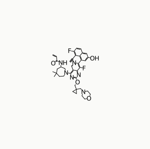 C#Cc1c(F)ccc2cc(O)cc(-c3ncc4c(N5CCC(C)(C)CC(NC(=O)C=C)C5)nc(OCC5(CN6CCOCC6)CC5)nc4c3F)c12